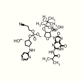 CC(C)C(=O)Nc1nc2c(ncn2[C@@H]2O[C@H](CO[P@](=O)(OCCC#N)O[C@H]3C[C@H](Nc4ccncn4)C[C@@H]3CO)[C@@H](O[Si](C)(C)C(C)(C)C)[C@H]2O[PH](=O)O)c(=O)[nH]1